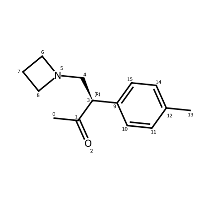 CC(=O)[C@@H](CN1CCC1)c1ccc(C)cc1